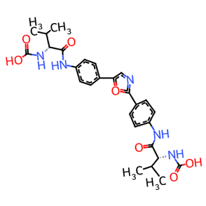 CC(C)[C@@H](NC(=O)O)C(=O)Nc1ccc(-c2cnc(-c3ccc(NC(=O)[C@H](NC(=O)O)C(C)C)cc3)o2)cc1